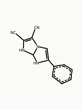 N#CC1=C(C#N)N2C=C(c3ccccc3)NC2N1